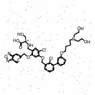 O=C(O)[C@@H](CO)NCc1cc(Cl)c(OCc2cccc(-c3cccc(OCCCCN(CCO)CCO)c3)c2Cl)cc1OCc1ccc2nonc2c1